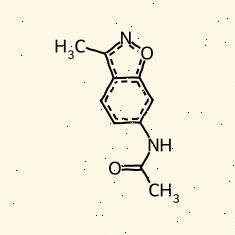 CC(=O)Nc1ccc2c(C)noc2c1